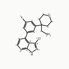 NCC1(c2cc(F)cc(-c3ccnc4[nH]nc(Cl)c34)c2)CCOCC1